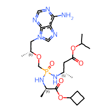 CC(C)OC(=O)C[C@H](C)NP(=O)(CO[C@H](C)Cn1cnc2c(N)ncnc21)N[C@H](C)C(=O)OC1CCC1